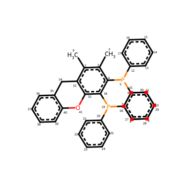 Cc1c(C)c(P(c2ccccc2)c2ccccc2)c(P(c2ccccc2)c2ccccc2)c2c1Cc1ccccc1O2